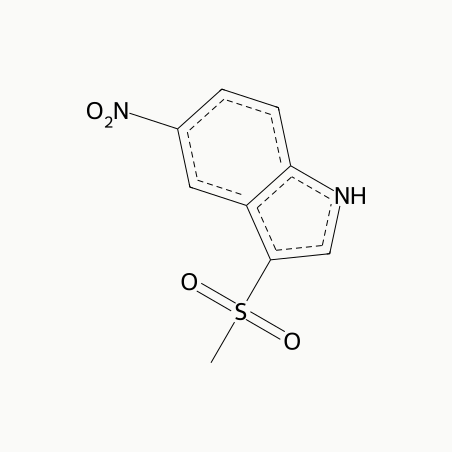 CS(=O)(=O)c1c[nH]c2ccc([N+](=O)[O-])cc12